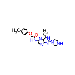 Cc1ccc(OCC(=O)Nc2cnc3nc(N4CCNCC4)nc(C)c3n2)cc1